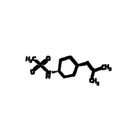 CC(C)C[C@H]1CC[C@H](NS(C)(=O)=O)CC1